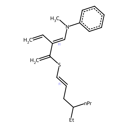 C=C/C(=C\N(C)c1ccccc1)C(=C)S/C=C/CC(CC)CCC